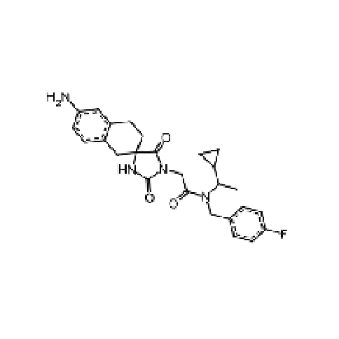 CC(C1CC1)N(Cc1ccc(F)cc1)C(=O)CN1C(=O)NC2(CCc3cc(N)ccc3C2)C1=O